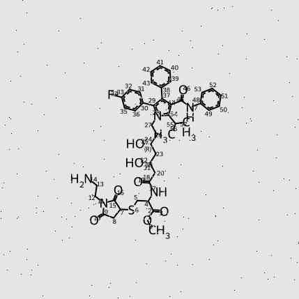 COC(=O)C(CSC1CC(=O)N(CCN)C1=O)NC(=O)C[C@H](O)C[C@H](O)CCn1c(-c2ccc(F)cc2)c(-c2ccccc2)c(C(=O)Nc2ccccc2)c1C(C)C